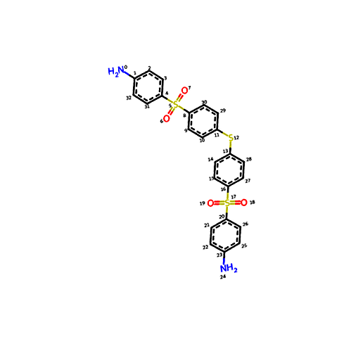 Nc1ccc(S(=O)(=O)c2ccc(Sc3ccc(S(=O)(=O)c4ccc(N)cc4)cc3)cc2)cc1